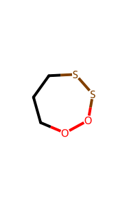 C1COOSSC1